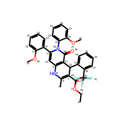 CCOC(=O)C1=C(C)Nc2cc(-c3ccccc3OC)n(-c3ccccc3OC)c(=O)c2C1c1ccccc1C(F)(F)F